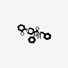 O=C1CCCCC1N1CCC(Nc2ccccc2)(C(=O)NCc2ccccc2)CC1